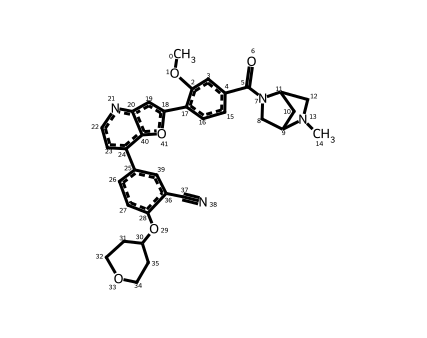 COc1cc(C(=O)N2CC3CC2CN3C)ccc1-c1cc2nccc(-c3ccc(OC4CCOCC4)c(C#N)c3)c2o1